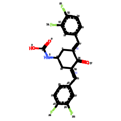 O=C(O)NC1C/C(=C\c2ccc(F)c(F)c2)C(=O)/C(=C/c2ccc(F)c(F)c2)C1